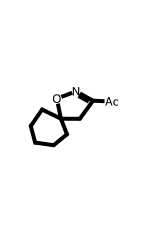 CC(=O)C1=NOC2(CCCCC2)C1